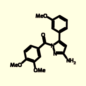 COc1cccc(-c2cc(N)nn2C(=O)c2ccc(OC)c(OC)c2)c1